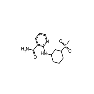 CS(=O)(=O)C1CCCC(Nc2ncccc2C(N)=O)C1